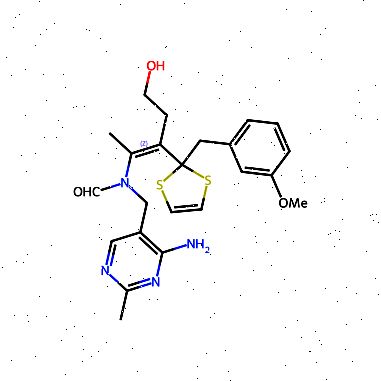 COc1cccc(CC2(/C(CCO)=C(/C)N(C=O)Cc3cnc(C)nc3N)SC=CS2)c1